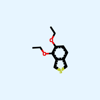 CCOc1ccc2cscc2c1OCC